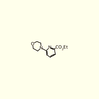 CCOC(=O)c1cccc(N2CCOCC2)n1